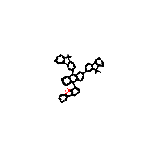 CC1(C)c2ccccc2-c2cc(-c3c4ccccc4c(-c4cccc5c4oc4ccccc45)c4ccc(-c5ccc6c(c5)C(C)(C)c5ccccc5-6)cc34)ccc21